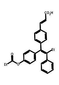 CCC(=O)Oc1ccc(/C(=C(/CC)c2ccccc2)c2ccc(/C=C/C(=O)O)cc2)cc1